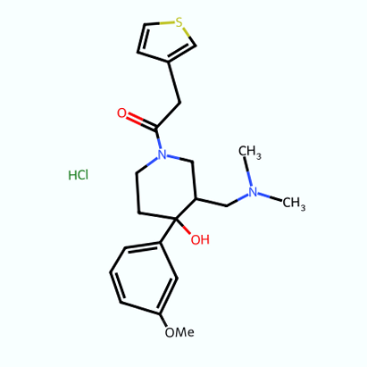 COc1cccc(C2(O)CCN(C(=O)Cc3ccsc3)CC2CN(C)C)c1.Cl